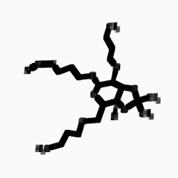 CCCCOCC1O[C@@H](OCCCN=[N+]=[N-])[C@@H](OCCCC)C2OC(C)(C)O[C@@H]12